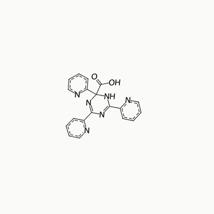 O=C(O)C1(c2ccccn2)N=C(c2ccccn2)N=C(c2ccccn2)N1